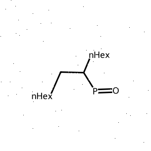 CCCCCCCC(CCCCCC)P=O